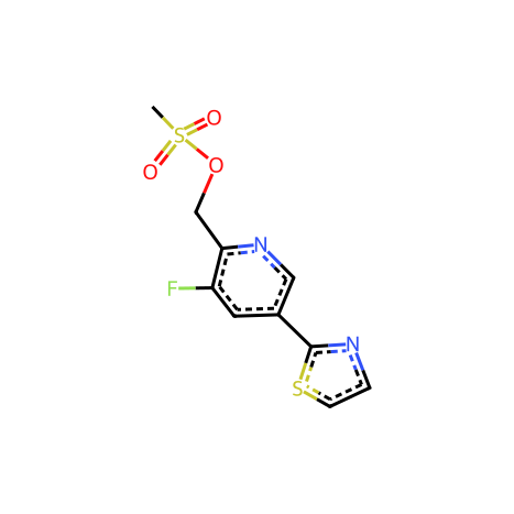 CS(=O)(=O)OCc1ncc(-c2nccs2)cc1F